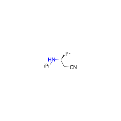 CC(C)N[C@H](CC#N)C(C)C